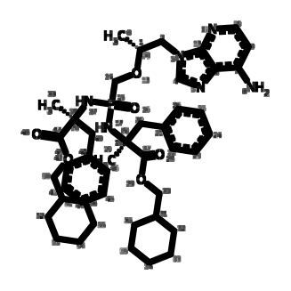 C[C@H](Cn1cnc2c(N)ccnc21)OCP(=O)(N[C@@](C)(Cc1ccccc1)C(=O)OCC1CCCCC1)N[C@@](C)(Cc1ccccc1)C(=O)OCC1CCCCC1